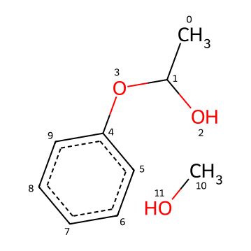 CC(O)Oc1ccccc1.CO